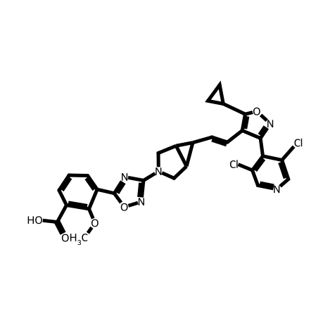 COc1c(C(=O)O)cccc1-c1nc(N2CC3C(/C=C/c4c(-c5c(Cl)cncc5Cl)noc4C4CC4)C3C2)no1